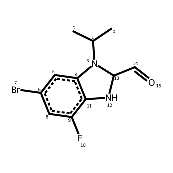 CC(C)N1c2cc(Br)cc(F)c2NC1C=O